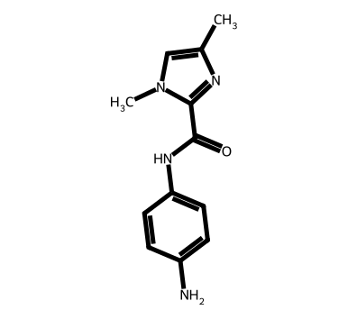 Cc1cn(C)c(C(=O)Nc2ccc(N)cc2)n1